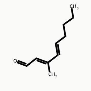 CCCCC=CC(C)=CC=O